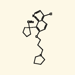 COC1(c2c(OCCCN3CCCC3)ccc3c(Cl)ccnc23)CCCC1